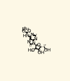 CC(C)(C)OC(=O)Nc1ncnc2c1ncn2[C@@H]1O[C@H](CO)[C@H](O)C1O